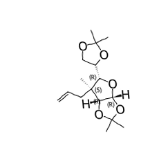 C=CC[C@@]1(C)[C@H](C2COC(C)(C)O2)O[C@@H]2OC(C)(C)O[C@@H]21